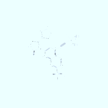 CC(C)[Si](C#Cc1cc(N2C(=O)OCC2C2CCCC2)nc2nc(S(C)(=O)=O)ncc12)(C(C)C)C(C)C